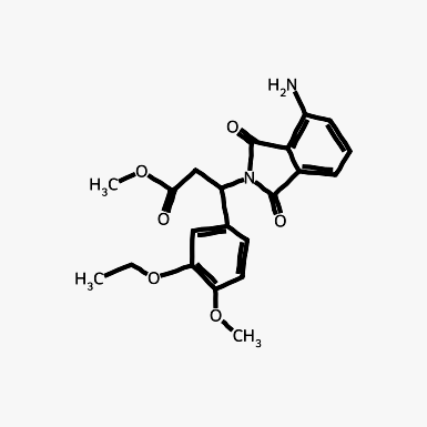 CCOc1cc(C(CC(=O)OC)N2C(=O)c3cccc(N)c3C2=O)ccc1OC